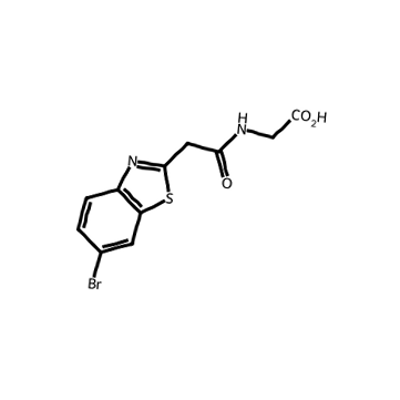 O=C(O)CNC(=O)Cc1nc2ccc(Br)cc2s1